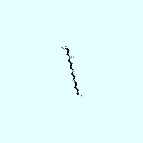 CCCNCCCOCCOCCCN